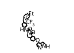 CCN1CCN(Cc2ccc(NC(=O)N3CCc4ccc(Oc5ccnc6[nH]ccc56)cc4C3=O)cc2C(F)(F)F)CC1